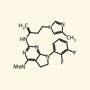 C=C(CCn1cnc(C)c1)Nc1nc(NC)c2c(n1)N(c1cccc(F)c1F)CC2